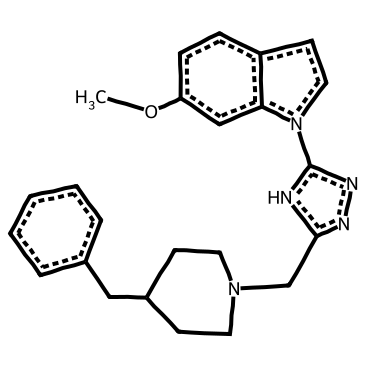 COc1ccc2ccn(-c3nnc(CN4CCC(Cc5ccccc5)CC4)[nH]3)c2c1